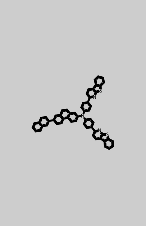 c1ccc2cc(-c3ccc4c(ccc5cc(N(c6ccc(-c7ccc8c(n7)sc7ccccc78)cc6)c6ccc(-c7ccc8c(n7)sc7ccccc78)cc6)ccc54)c3)ccc2c1